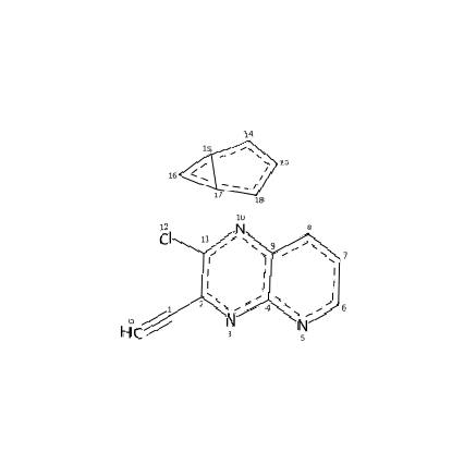 C#Cc1nc2ncccc2nc1Cl.c1cc2cc-2c1